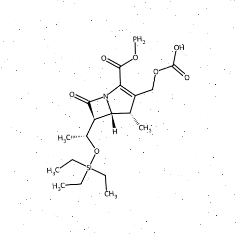 CC[Si](CC)(CC)O[C@H](C)[C@H]1C(=O)N2C(C(=O)OP)=C(COC(=O)O)[C@H](C)[C@H]12